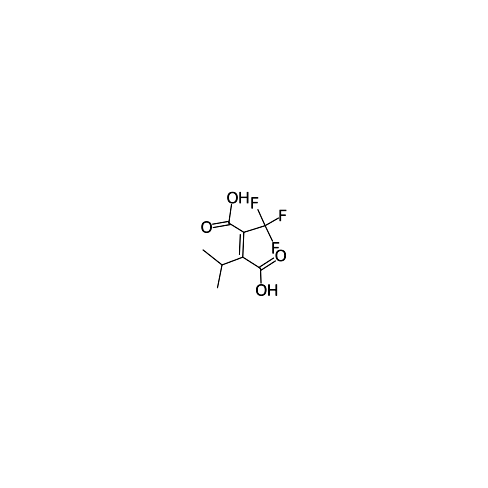 CC(C)/C(C(=O)O)=C(\C(=O)O)C(F)(F)F